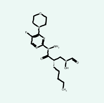 CCCCC[C@@H](CN(O)C=O)C(=O)N(N)c1ncc(F)c(N2CCOCC2)n1